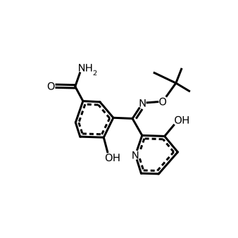 CC(C)(C)ON=C(c1cc(C(N)=O)ccc1O)c1ncccc1O